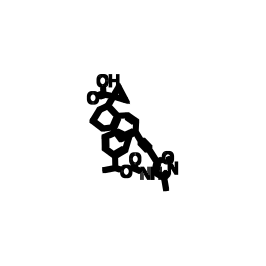 Cc1noc(C#Cc2ccc3c(c2)CCCC3C2(C(=O)O)CC2)c1NC(=O)OC(C)c1ccccc1